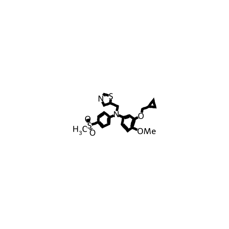 COc1ccc(N(CC2CN=CS2)c2ccc(S(C)(=O)=O)cc2)cc1OCC1CC1